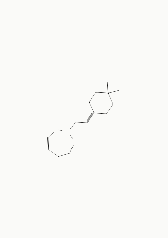 CC1(C)CCC(=CC[13CH]2OCCCCO2)CC1